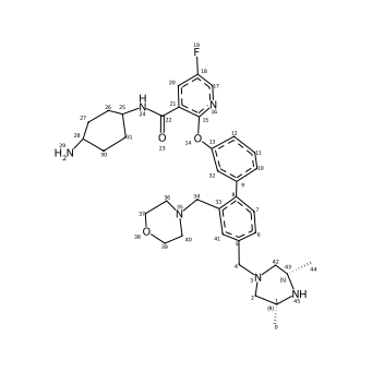 C[C@@H]1CN(Cc2ccc(-c3cccc(Oc4ncc(F)cc4C(=O)NC4CCC(N)CC4)c3)c(CN3CCOCC3)c2)C[C@H](C)N1